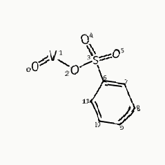 [O]=[V][O]S(=O)(=O)c1ccccc1